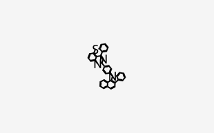 c1ccc2c(c1)Sc1cccc3nc(-c4ccc(-n5c6ccccc6c6ccc7ccccc7c65)cc4)nc-2c13